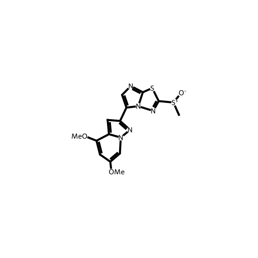 COc1cc(OC)c2cc(-c3cnc4sc([S+](C)[O-])nn34)nn2c1